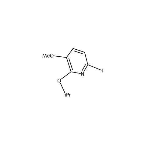 COc1ccc(I)nc1OC(C)C